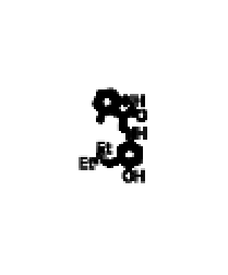 CCN(CC)Cc1cc(NC=C2C(=O)Nc3cccc(C)c32)ccc1O